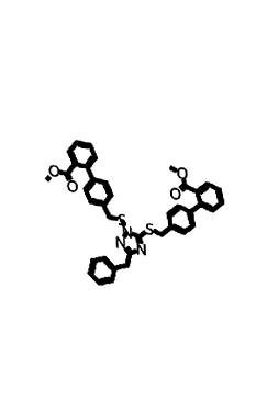 COC(=O)c1ccccc1-c1ccc(CSc2nc(Cc3ccccc3)nn2SCc2ccc(-c3ccccc3C(=O)OC)cc2)cc1